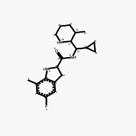 Cc1cc(F)cc2c1NC(C(=O)NC(C1CC1)C1NCCCC1C)C2